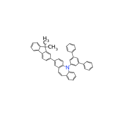 CC1(C)c2ccccc2-c2ccc(-c3ccc4c(c3)C=Cc3ccccc3N4c3cc(-c4ccccc4)cc(-c4ccccc4)c3)cc21